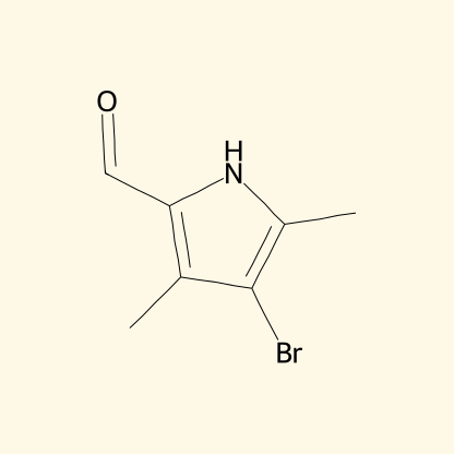 Cc1[nH]c(C=O)c(C)c1Br